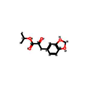 CC(C)OC(=O)C(=O)Cc1ccc2c(c1)OCO2